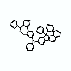 c1ccc(C2CCc3cc(N(c4ccccc4)c4ccc5c(c4)C(c4ccccc4)(c4ccccc4)c4c-5ccc5ccccc45)ccc3-c3ccccc32)cc1